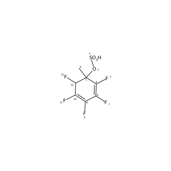 CC1(OS(=O)(=O)O)C(F)=C(F)C(F)=C(F)C1F